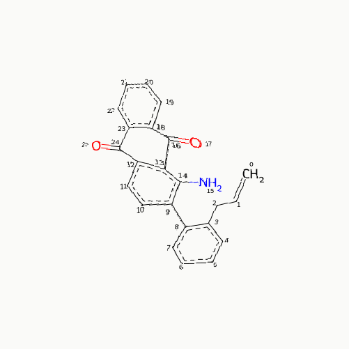 C=CCc1ccccc1-c1ccc2c(c1N)C(=O)c1ccccc1C2=O